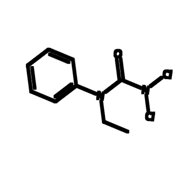 CCN(C(=O)N(Cl)Cl)c1ccccc1